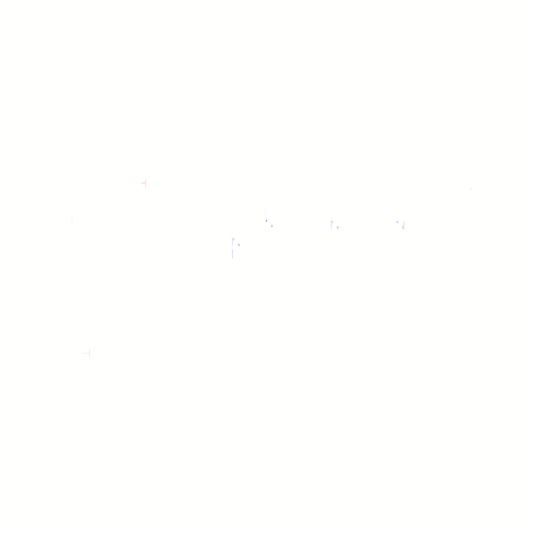 CBc1cc(Cl)c(O)c(C(=O)NNc2ccc(F)c(N3CCOCC3)n2)c1